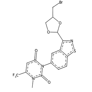 Cn1c(C(F)(F)F)cc(=O)n(-c2ccc3snc(C4OCC(CBr)O4)c3c2)c1=O